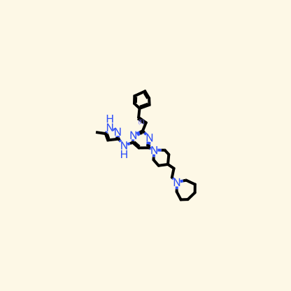 Cc1cc(Nc2cc(N3CCC(CCN4CCCCCC4)CC3)nc(/C=C/c3ccccc3)n2)n[nH]1